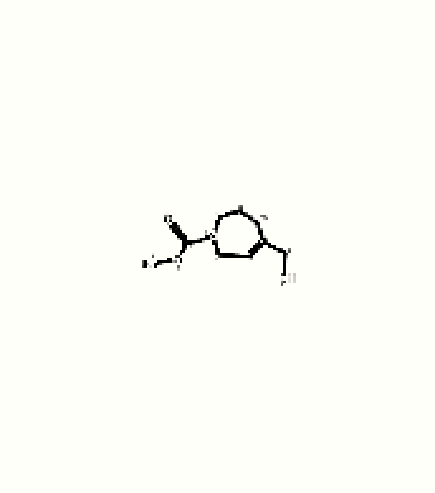 CC(C)(C)OC(=O)N1CC=C(CO)CCC1